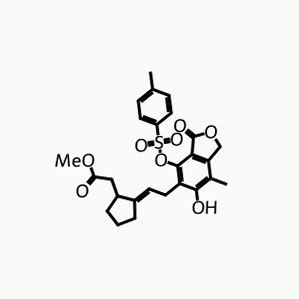 COC(=O)CC1CCC/C1=C\Cc1c(O)c(C)c2c(c1OS(=O)(=O)c1ccc(C)cc1)C(=O)OC2